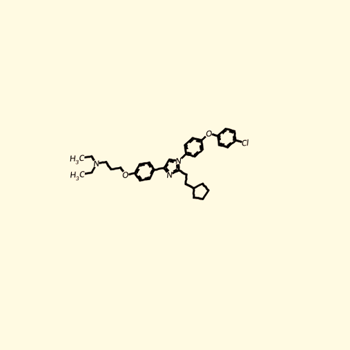 CCN(CC)CCCOc1ccc(-c2cn(-c3ccc(Oc4ccc(Cl)cc4)cc3)c(CCC3CCCC3)n2)cc1